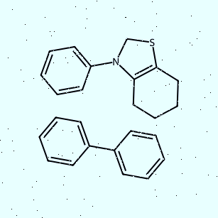 c1ccc(-c2ccccc2)cc1.c1ccc(N2CSC3=C2CCCC3)cc1